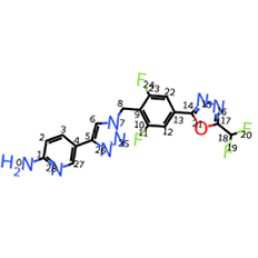 Nc1ccc(-c2cn(Cc3c(F)cc(-c4nnc(C(F)F)o4)cc3F)nn2)cn1